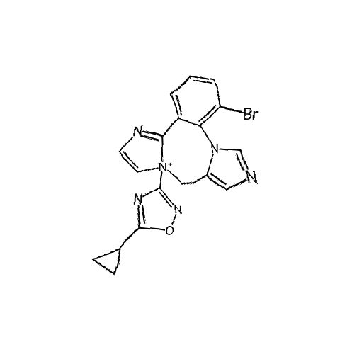 Brc1cccc2c1-n1cncc1C[N+]1(c3noc(C4CC4)n3)C=CN=C21